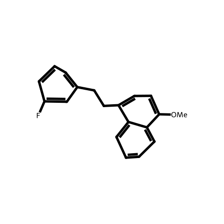 COc1ccc(CCc2cccc(F)c2)c2ccccc12